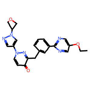 CCOc1cnc(-c2cccc(Cc3nn(-c4cnn(C5COC5)c4)ccc3=O)c2)nc1